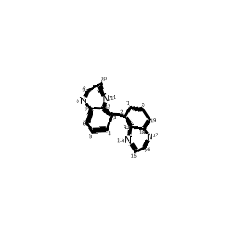 c1cc(-c2cccc3nccnc23)c2nccnc2c1